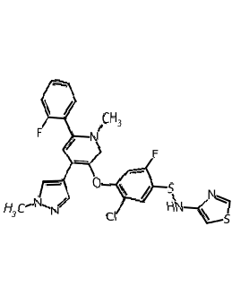 CN1CC(Oc2cc(F)c(SNc3cscn3)cc2Cl)=C(c2cnn(C)c2)C=C1c1ccccc1F